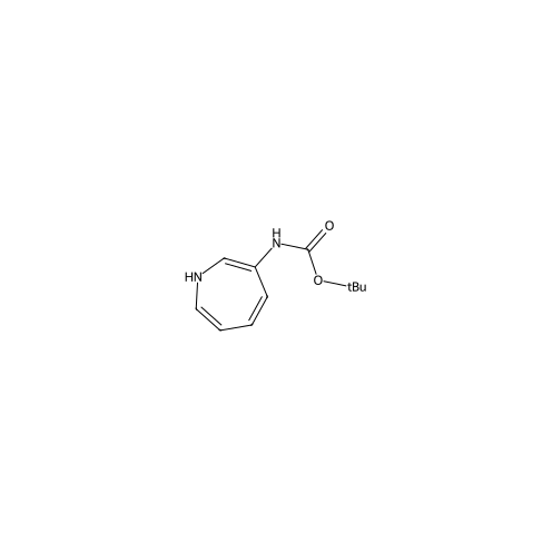 CC(C)(C)OC(=O)NC1=CNC=CC=C1